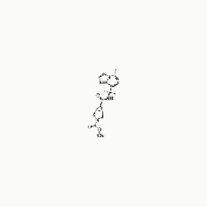 Cc1ccc(C(C)(C)NC(=O)C2C3CN(C(=O)OC(C)(C)C)CC32)c2nccn12